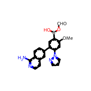 COc1cc(-n2cccn2)c(-c2ccc3c(N)nccc3c2)cc1B(O)OC=O